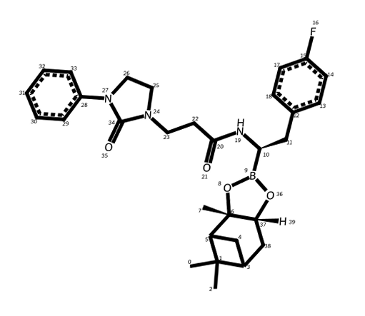 CC1(C)C2CC1[C@]1(C)OB([C@H](Cc3ccc(F)cc3)NC(=O)CCN3CCN(c4ccccc4)C3=O)O[C@@H]1C2